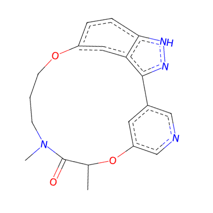 CC1Oc2cncc(c2)-c2n[nH]c3ccc(cc23)OCCCN(C)C1=O